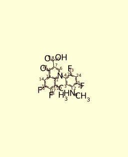 CNc1cc(-n2cc(C(=O)O)c(=O)c3cc(F)c(F)c(C)c32)c(F)cc1F